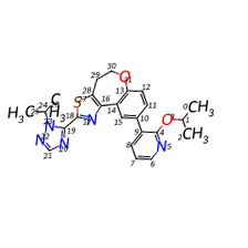 CC(C)Oc1ncccc1-c1ccc2c(c1)-c1nc(-c3ncnn3C(C)C)sc1CCO2